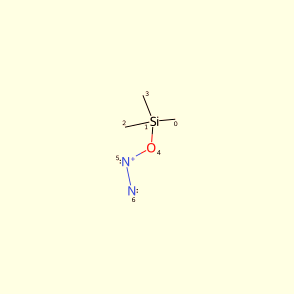 C[Si](C)(C)O[N+][N]